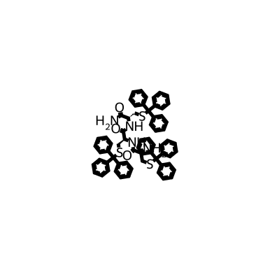 NC(=O)[C@H](CSC(c1ccccc1)(c1ccccc1)c1ccccc1)NC(=O)[C@H](CSC(c1ccccc1)(c1ccccc1)c1ccccc1)NC(=O)[C@@H](N)CSC(c1ccccc1)(c1ccccc1)c1ccccc1